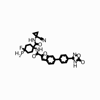 N#CC1(NC(=O)C2(NC(=O)c3cc4ccc(-c5ccc(-c6noc(=O)[nH]6)cc5)cc4o3)CCC(F)(P)CC2)CC1